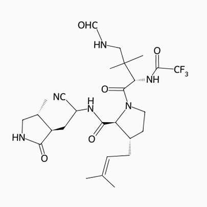 CC(C)=CC[C@H]1CCN(C(=O)[C@@H](NC(=O)C(F)(F)F)C(C)(C)CNC=O)[C@@H]1C(=O)NC(C#N)C[C@H]1C(=O)NC[C@@H]1C